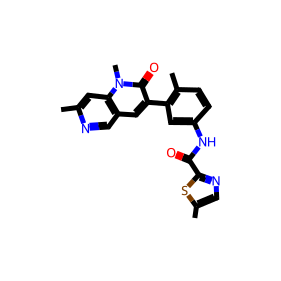 Cc1cc2c(cn1)cc(-c1cc(NC(=O)c3ncc(C)s3)ccc1C)c(=O)n2C